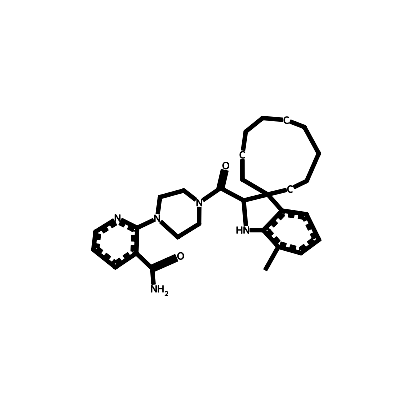 Cc1cccc2c1NC(C(=O)N1CCN(c3ncccc3C(N)=O)CC1)C21CCCCCCCCC1